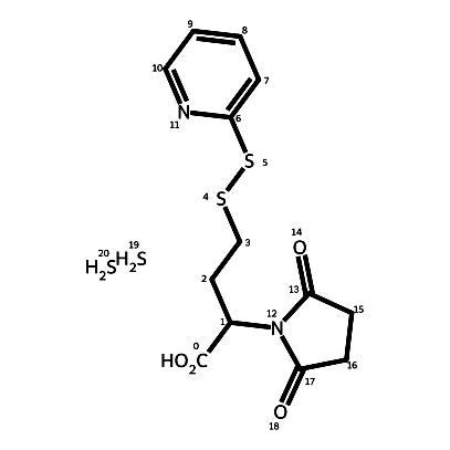 O=C(O)C(CCSSc1ccccn1)N1C(=O)CCC1=O.S.S